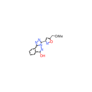 COCc1cc(-c2nnc3c4ccccc4c(O)nn23)no1